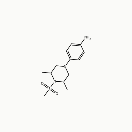 CC1CN(c2ccc(N)cc2)CC(C)N1S(C)(=O)=O